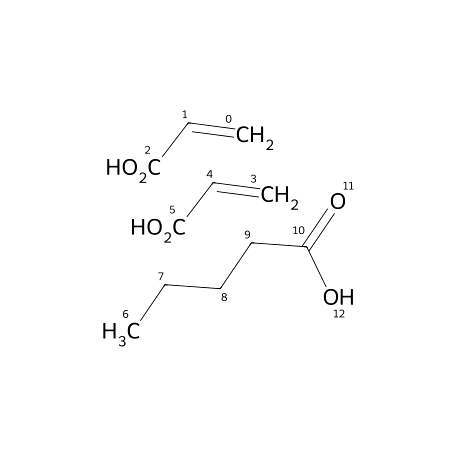 C=CC(=O)O.C=CC(=O)O.CCCCC(=O)O